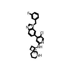 Fc1cccc(Cn2cnc3ccc(-c4cc(N[C@@H]5CC[C@@]56CCCNC6)ncc4Cl)cc32)c1